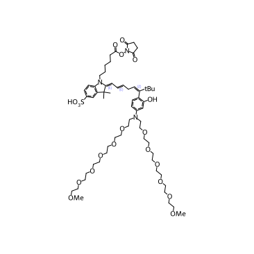 COCCOCCOCCOCCOCCOCCN(CCOCCOCCOCCOCCOCCOC)c1ccc(/C(=C\C/C=C/C=C2/N(CCCCCC(=O)ON3C(=O)CCC3=O)c3ccc(S(=O)(=O)O)cc3C2(C)C)C(C)(C)C)c(O)c1